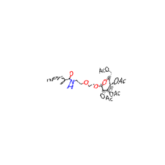 C=C(CCC)C(=O)NCCOCCO[C@H]1O[C@H](COC(C)=O)[C@@H](OC(C)=O)[C@H](OC(C)=O)[C@@H]1OC(C)=O